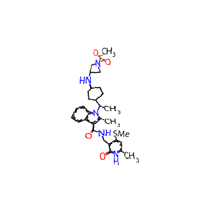 CSc1cc(C)[nH]c(=O)c1CNC(=O)c1c(C)n(C(C)C2CCC(NC3CN(S(C)(=O)=O)C3)CC2)c2ccccc12